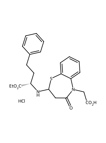 CCOC(=O)[C@H](CCc1ccccc1)NC1CC(=O)N(CC(=O)O)c2ccccc2S1.Cl